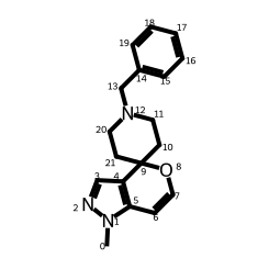 Cn1ncc2c1C=COC21CCN(Cc2ccccc2)CC1